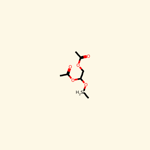 C[SiH2]OC(COC(C)=O)OC(C)=O